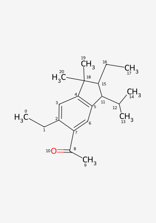 CCc1cc2c(cc1C(C)=O)C(C(C)C)C(CC)C2(C)C